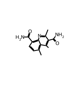 Cc1nc2c(C(N)=O)ccc(C)c2c(C)c1C(N)=O